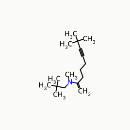 C=C(CCCC#CC(C)(C)C)N(C)CC(C)(C)C